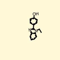 CCn1c(-c2ccc(O)cc2)nc2ccccc21